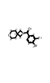 O=C(c1ccc(Br)c(F)c1)N1CC2(CCOCC2)C1